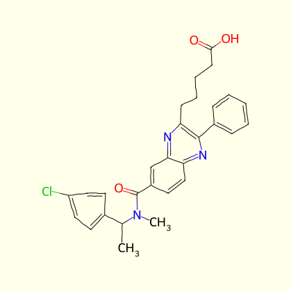 CC(c1ccc(Cl)cc1)N(C)C(=O)c1ccc2nc(-c3ccccc3)c(CCCCC(=O)O)nc2c1